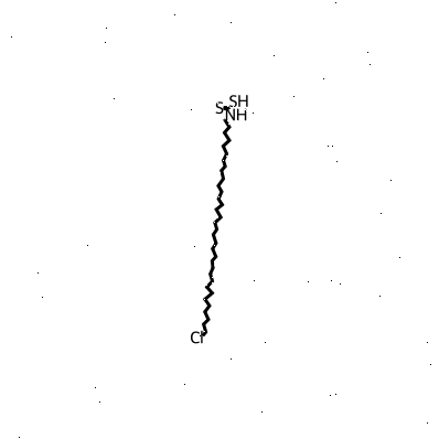 S=C(S)NCCCCCCCCCCCCCCCCCCCCCCCCCCCCCCCCCCCl